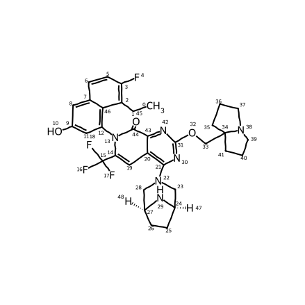 CCc1c(F)ccc2cc(O)cc(-n3c(C(F)(F)F)cc4c(N5C[C@H]6CC[C@@H](C5)N6)nc(OCC56CCCN5CCC6)nc4c3=O)c12